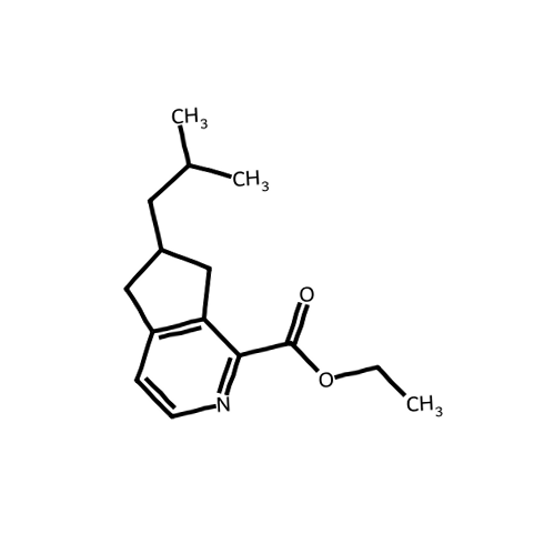 CCOC(=O)c1nccc2c1CC(CC(C)C)C2